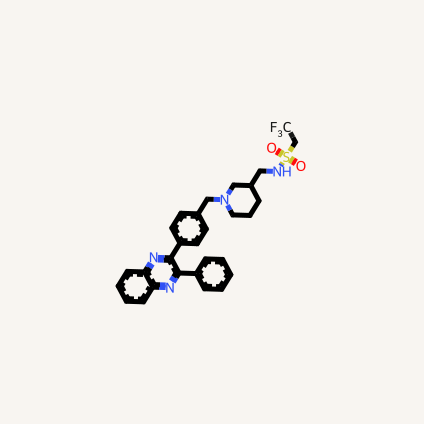 O=S(=O)(CC(F)(F)F)NCC1CCCN(Cc2ccc(-c3nc4ccccc4nc3-c3ccccc3)cc2)C1